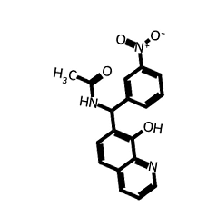 CC(=O)NC(c1cccc([N+](=O)[O-])c1)c1ccc2cccnc2c1O